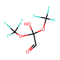 O=CC(O)(OC(F)(F)F)OC(F)(F)F